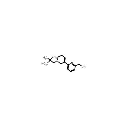 CC(C)(CN1CCC=C(c2cccc(CO)n2)C1)C(=O)O